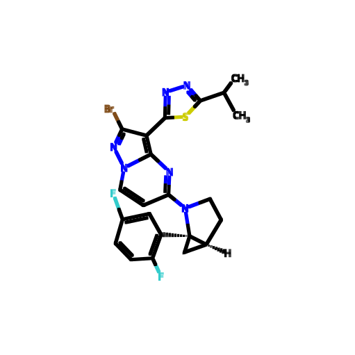 CC(C)c1nnc(-c2c(Br)nn3ccc(N4CC[C@H]5C[C@]54c4cc(F)ccc4F)nc23)s1